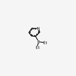 CCB(CC)c1cccnc1